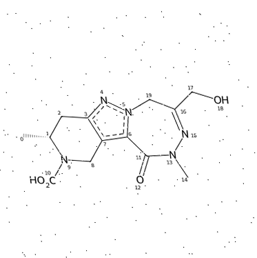 C[C@@H]1Cc2nn3c(c2CN1C(=O)O)C(=O)N(C)N=C(CO)C3